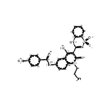 CC(C)CCn1c(=O)c(C2=NS(=O)(=O)c3ccccc3N2)c(O)c2cc(NC(=O)c3ccc([N+](=O)[O-])cc3)ccc21